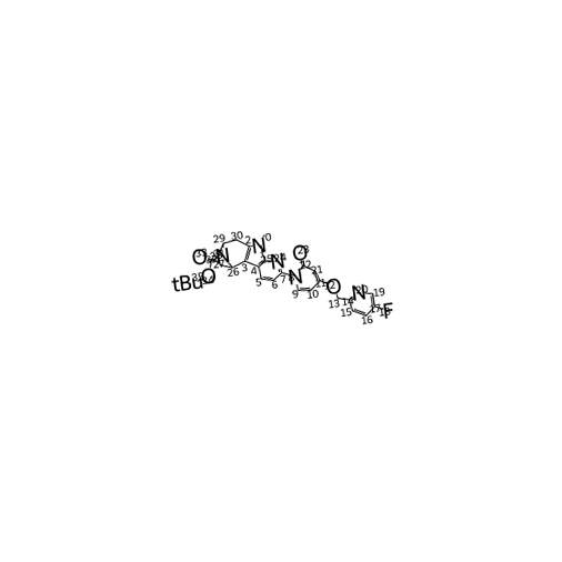 Cn1c2c(c3ccc(-n4ccc(OCc5ccc(F)cn5)cc4=O)nc31)C1CCC(C2)N1C(=O)OC(C)(C)C